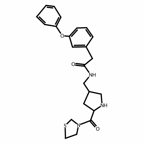 O=C(Cc1cccc(Oc2ccccc2)c1)NCC1CNC(C(=O)N2CCSC2)C1